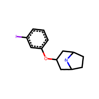 Ic1cccc(OC2CC3CCC(C2)[N]3)c1